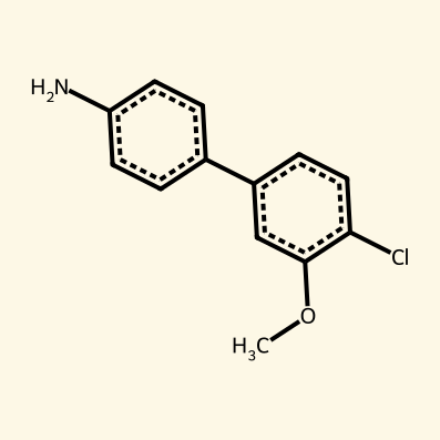 COc1cc(-c2ccc(N)cc2)ccc1Cl